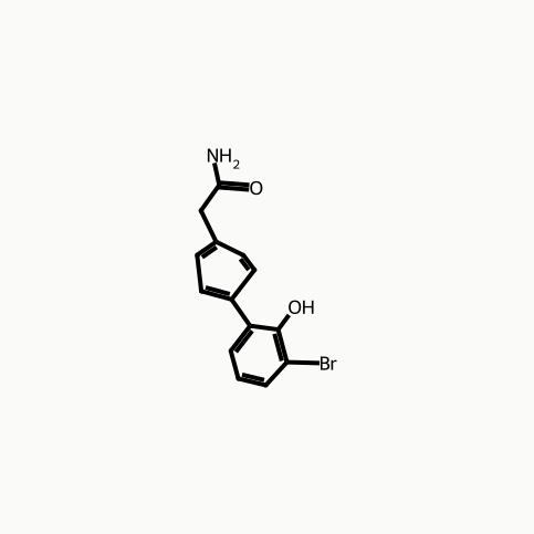 NC(=O)Cc1ccc(-c2cccc(Br)c2O)cc1